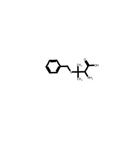 CC(C)(SCc1ccccc1)C(N)C(=O)O